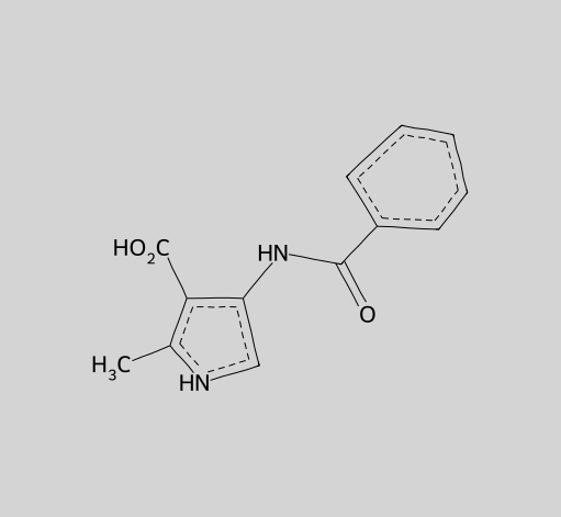 Cc1[nH]cc(NC(=O)c2ccccc2)c1C(=O)O